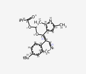 C/N=C\C(=C(\OCOC(=O)C(C)C)c1cc(C)nn1C)c1ccc(C(C)(C)C)cc1